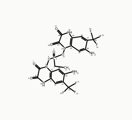 CCP(=O)(On1c(=O)c(=O)[nH]c2cc(C(F)(F)F)c(N)cc21)On1c(=O)c(=O)[nH]c2cc(C(F)(F)F)c(N)cc21